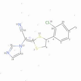 Cc1ccc(C2CS/C(=C(/C#N)n3ccnc3)S2)c(Cl)c1